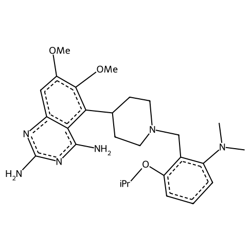 COc1cc2nc(N)nc(N)c2c(C2CCN(Cc3c(OC(C)C)cccc3N(C)C)CC2)c1OC